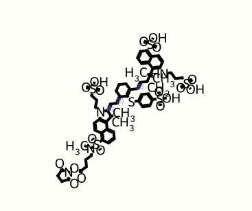 C=C(/C=C/C1=C(Sc2ccc(S(=O)(=O)O)cc2)C(=C/C=C2/N(CCCS(=O)(=O)O)c3ccc4c(S(=O)(=O)N(C)CCCC(=O)ON5C(=O)CCC5=O)cccc4c3C2(C)C)/CCC1)C(C)(C)c1c(NCCCS(=O)(=O)O)ccc2c(S(=O)(=O)O)cccc12